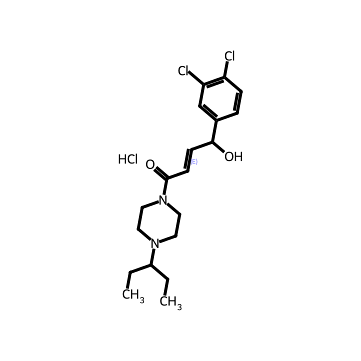 CCC(CC)N1CCN(C(=O)/C=C/C(O)c2ccc(Cl)c(Cl)c2)CC1.Cl